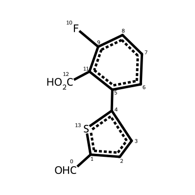 O=Cc1ccc(-c2cccc(F)c2C(=O)O)s1